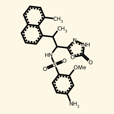 COc1cc(N)ccc1S(=O)(=O)NC(c1n[nH]c(=O)o1)C(C)c1cccc2cccc(C)c12